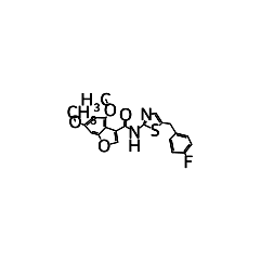 COc1cc(OC)c2c(C(=O)Nc3ncc(Cc4ccc(F)cc4)s3)coc2c1